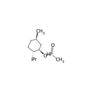 CC(C)[C@@H]1CC[C@@H](C)C[C@H]1O[PH](C)=O